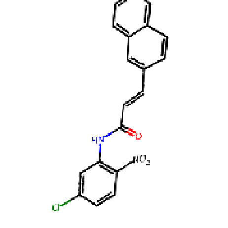 O=C(C=Cc1ccc2ccccc2c1)Nc1cc(Cl)ccc1[N+](=O)[O-]